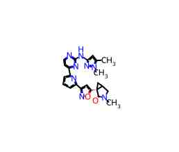 Cc1cc(Nc2nccc(-c3cccc(-c4cc([C@]56CC5CN(C)C6=O)on4)n3)n2)nn1C